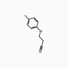 Cc1ccc([N]CCC#N)cc1